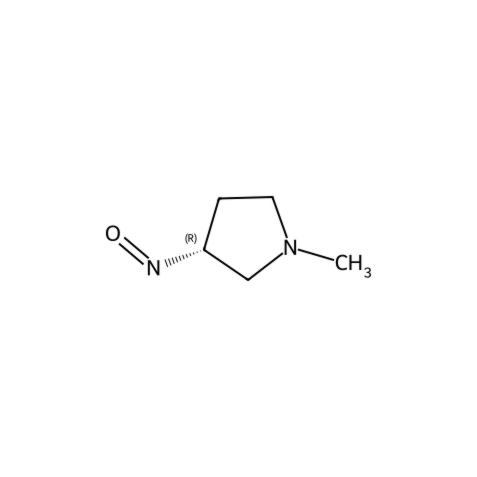 CN1CC[C@@H](N=O)C1